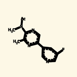 CC(=O)N(C)c1ncc(-c2cncc(F)c2)nc1C